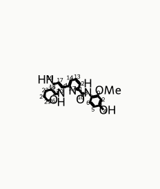 COc1cc(O)ccc1NC(=O)c1cccc(/C(=C/C=N)NC2CCCCO2)n1